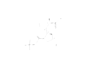 CO[C@H]1C[C@H]([C@H](OC)[C@@H](C)C(=O)O)N(C(=O)OC(C)(C)C)C1